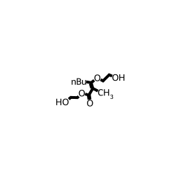 CCCCC(OCCO)=C(C)C(=O)OCCO